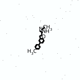 Cc1ccc(-c2ccc3oc(-c4cnc(C)[nH]4)cc3c2)cc1